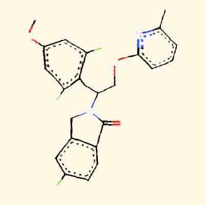 COc1cc(F)c(C(COc2cccc(C)n2)N2Cc3cc(F)ccc3C2=O)c(F)c1